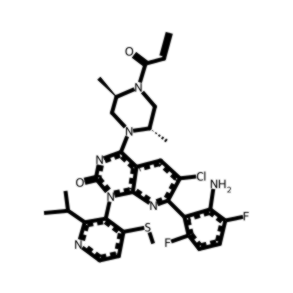 C=CC(=O)N1C[C@H](C)N(c2nc(=O)n(-c3c(SC)ccnc3C(C)C)c3nc(-c4c(F)ccc(F)c4N)c(Cl)cc23)C[C@H]1C